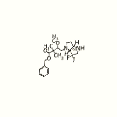 COC(CN1CC[C@@H]2NCC(F)(F)[C@@H]21)C(C)(C)C(=O)OCc1ccccc1